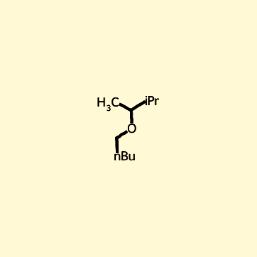 CCCCCOC(C)C(C)C